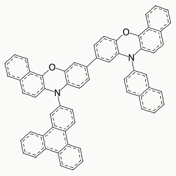 c1ccc2cc(N3c4cc(-c5ccc6c(c5)Oc5c(ccc7ccccc57)N6c5ccc6c7ccccc7c7ccccc7c6c5)ccc4Oc4c3ccc3ccccc43)ccc2c1